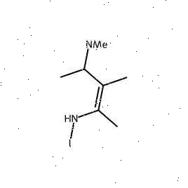 CNC(C)/C(C)=C(/C)NI